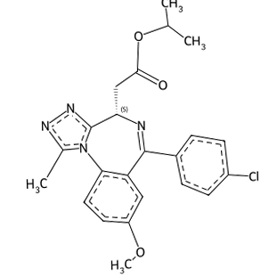 COc1ccc2c(c1)C(c1ccc(Cl)cc1)=N[C@@H](CC(=O)OC(C)C)c1nnc(C)n1-2